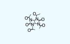 CC(=O)N1C(=O)N(C(C)=O)C2C1N(C(C)=O)C(=O)N2C(C)=O